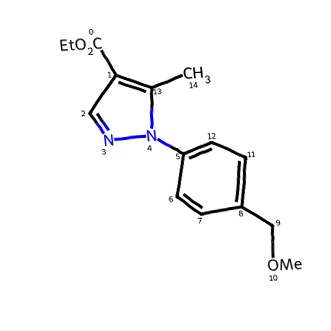 CCOC(=O)c1cnn(-c2ccc(COC)cc2)c1C